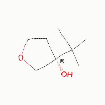 CC(C)(C)[C@]1(O)CCOC1